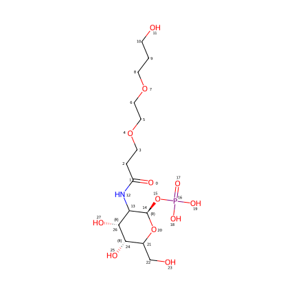 O=C(CCOCCOCCCO)NC1[C@@H](OP(=O)(O)O)OC(CO)[C@H](O)[C@@H]1O